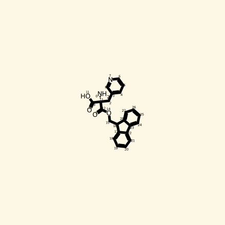 N[C@@](Cc1cccnc1)(C(=O)O)C(=O)OCC1c2ccccc2-c2ccccc21